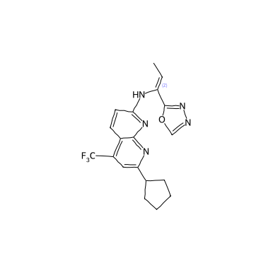 C/C=C(\Nc1ccc2c(C(F)(F)F)cc(C3CCCC3)nc2n1)c1nnco1